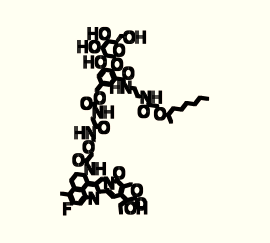 CCCCCCC(C)OCC(=O)NCCNC(=O)c1cc(COC(=O)NCC(=O)NCOCC(=O)N[C@H]2CCc3c(C)c(F)cc4nc5c(c2c34)Cn2c-5cc3c(c2=O)COC(=O)[C@]3(O)CC)ccc1O[C@@H]1O[C@H](CO)[C@@H](O)[C@H](O)[C@H]1O